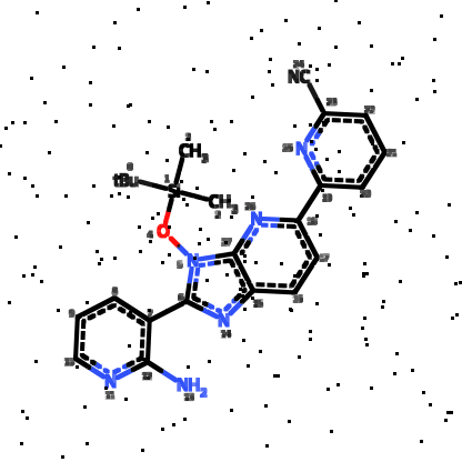 CC(C)(C)[Si](C)(C)On1c(-c2cccnc2N)nc2ccc(-c3cccc(C#N)n3)nc21